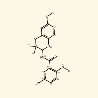 COc1ccc2c(c1)CC(C)(C)C(NC(=O)c1cc(F)ccc1OC)O2